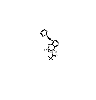 CC(C)(C)C(=O)N1C[C@@H]2C[C@H]1c1cncc(C#Cc3ccccc3)c1O2